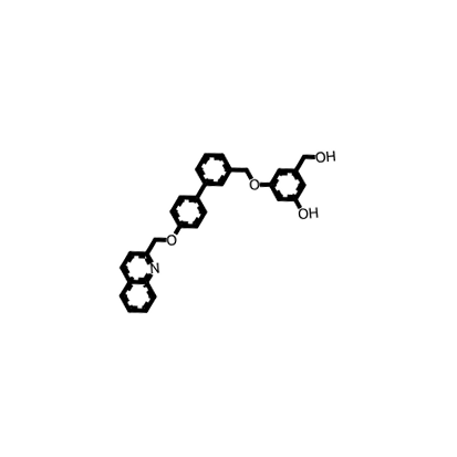 OCc1cc(O)cc(OCc2cccc(-c3ccc(OCc4ccc5ccccc5n4)cc3)c2)c1